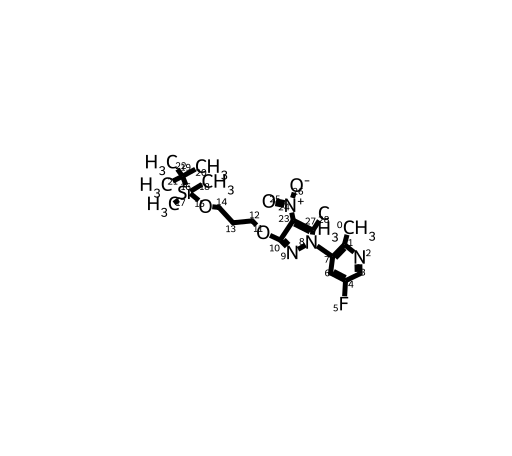 Cc1ncc(F)cc1-n1nc(OCCCO[Si](C)(C)C(C)(C)C)c([N+](=O)[O-])c1C